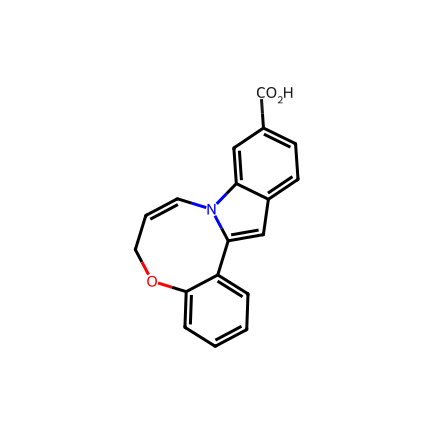 O=C(O)c1ccc2cc3n(c2c1)C=CCOc1ccccc1-3